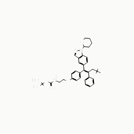 CC(C)(C)OC(=O)NCCOc1ccc(/C(=C(/CC(F)(F)F)c2ccccc2)c2ccc3c(cnn3C3CCCCO3)c2)cc1